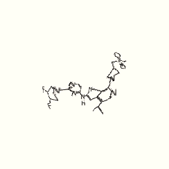 CC(C)c1cnc(N2CC(CS(C)(=O)=O)C2)c2cnc(Nc3ccnc(N4C[C@@H](F)[C@@H](F)C4)n3)cc12